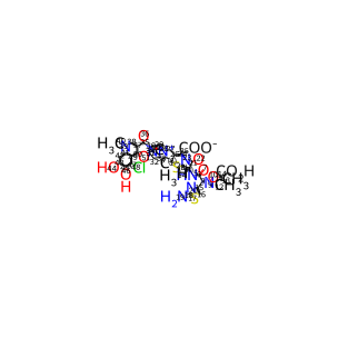 C[C@@H]1S[C@@H]2[C@H](NC(=O)/C(=N\OC(C)(C)C(=O)O)c3csc(N)n3)C(=O)N2C(C(=O)[O-])=C1C[N+]12CCC(CC1)N(C(=O)c1cn(C)c3cc(O)c(O)c(Cl)c3c1=O)CC2